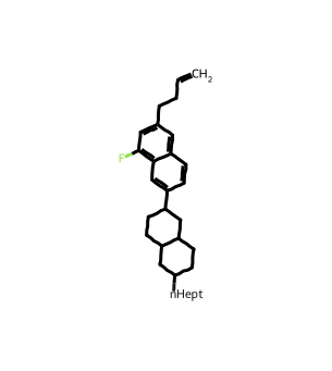 C=CCCc1cc(F)c2cc(C3CCC4CC(CCCCCCC)CCC4C3)ccc2c1